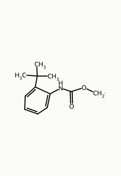 [CH2]OC(=O)Nc1ccccc1C(C)(C)C